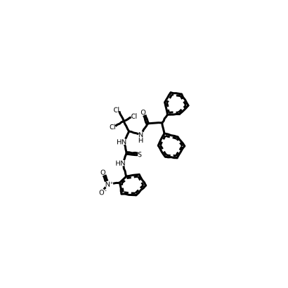 O=C(NC(NC(=S)Nc1ccccc1[N+](=O)[O-])C(Cl)(Cl)Cl)C(c1ccccc1)c1ccccc1